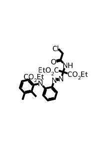 CCOC(=O)N(c1ccccc1N=NC(NC(=O)CCl)(C(=O)OCC)C(=O)OCC)c1cccc(C)c1C